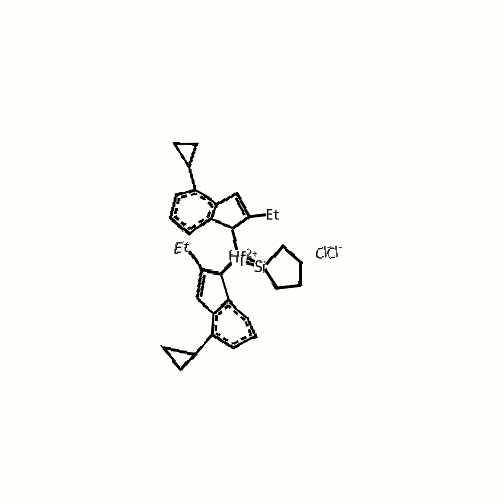 CCC1=Cc2c(C3CC3)cccc2[CH]1[Hf+2]([CH]1C(CC)=Cc2c(C3CC3)cccc21)=[Si]1CCCC1.[Cl-].[Cl-]